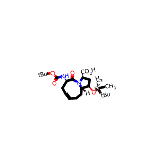 CC(C)(C)OC(=O)N[C@H]1C/C=C\CC[C@H]2[C@H](O[Si](C)(C)C(C)(C)C)C[C@@H](C(=O)O)N2C1=O